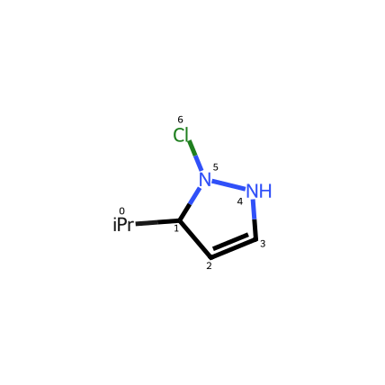 CC(C)C1C=CNN1Cl